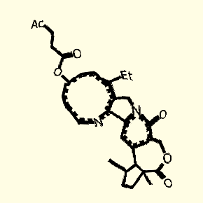 CCc1ccc(OC(=O)CCC(C)=O)cccnc2c1Cn1c-2cc2c(c1=O)COC(=O)C1(C)CCC(C)C21